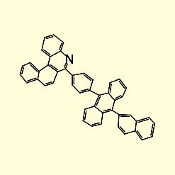 c1ccc2cc(-c3c4ccccc4c(-c4ccc(-c5nc6ccccc6c6c5ccc5ccccc56)cc4)c4ccccc34)ccc2c1